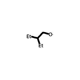 CCC(CC)C[O]